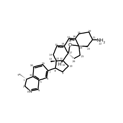 C[C@H]1CN=Cc2cc(C3CC[C@@H]4[C@@]3(C)CC=C3C=C5CCC(N)C[C@]56CC[C@@]34O6)ccc21